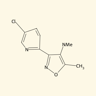 CNc1c(-c2ccc(Cl)cn2)noc1C